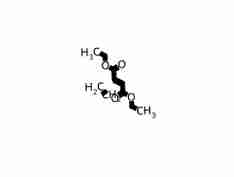 C=C.CCOC(=O)C=CC(=O)OCC